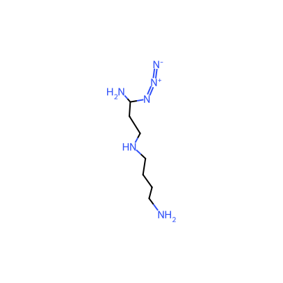 [N-]=[N+]=NC(N)CCNCCCCN